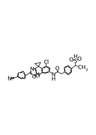 CC(c1ccc(CC(=O)Nc2cc(Cl)c(C3(c4noc(-c5ccc(C#N)cc5)n4)CC3)c(Cl)c2)cc1)[SH](=O)=O